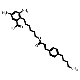 CCCCCc1ccc(/C=C/C(=O)OCCCCCCc2c(N)cc(N)cc2C(=O)O)cc1